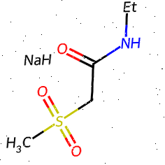 CCNC(=O)CS(C)(=O)=O.[NaH]